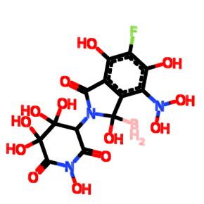 BC1(O)c2c(c(O)c(F)c(O)c2N(O)O)C(=O)N1C1C(=O)N(O)C(=O)C(O)(O)C1(O)O